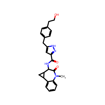 CN1C(=O)C(NC(=O)c2cc(Cc3ccc(CCO)cc3)[nH]n2)C2CC2c2ccccc21